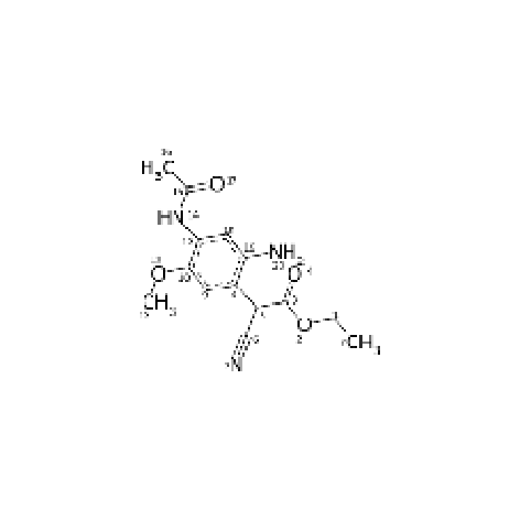 CCOC(=O)C(C#N)c1cc(OC)c(NC(C)=O)cc1N